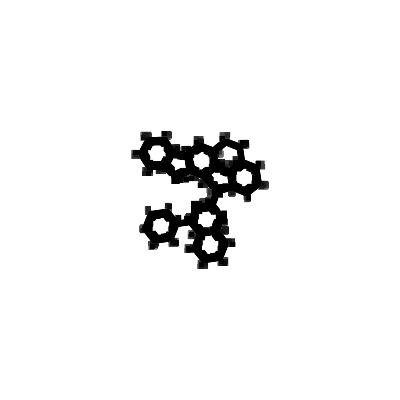 c1ccc(-c2nc(-n3c4cccc5c4c4c(cc6c7ccccc7sc6c43)CC5)nc3ccccc23)cc1